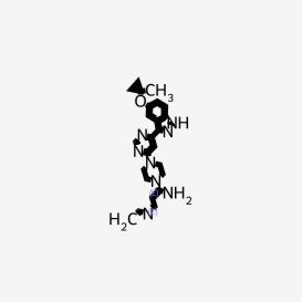 C=C/N=C\C=C(/N)N1CCN(c2cc(-c3n[nH]c4ccc(OC5(C)CC5)cc34)ncn2)CC1